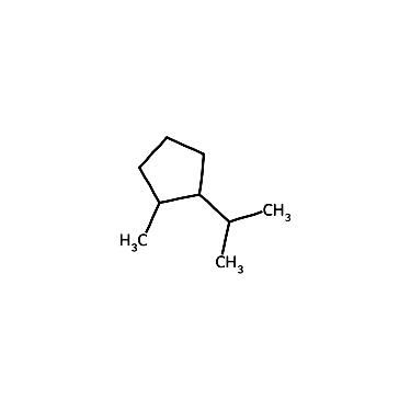 CC(C)C1CCCC1C